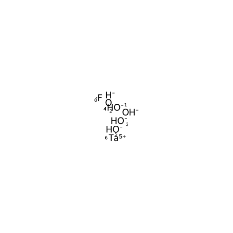 [F].[OH-].[OH-].[OH-].[OH-].[OH-].[Ta+5]